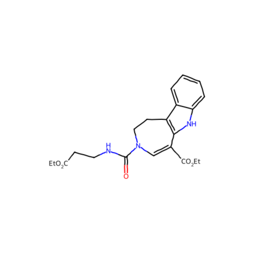 CCOC(=O)CCNC(=O)N1C=C(C(=O)OCC)c2[nH]c3ccccc3c2CC1